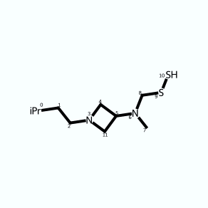 CC(C)CCN1CC(N(C)CSS)C1